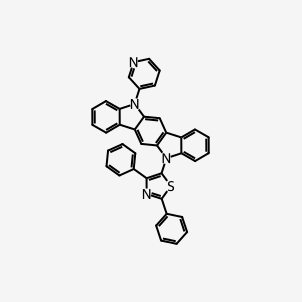 c1ccc(-c2nc(-c3ccccc3)c(-n3c4ccccc4c4cc5c(cc43)c3ccccc3n5-c3cccnc3)s2)cc1